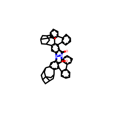 O=c1c2c(-c3ccccc3-c3ccccc3)c3c(cc2n2c4cc5c(c(-c6ccccc6-c6ccccc6)c4c(=O)n12)C1CC2CC4CC5CC42C1)C1CC2CC(C1)CC3C2